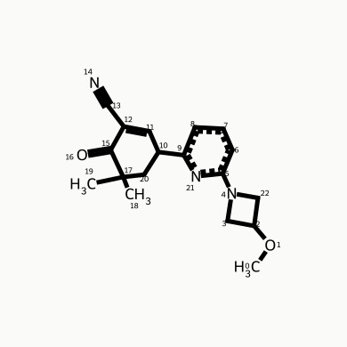 COC1CN(c2cccc(C3C=C(C#N)C(=O)C(C)(C)C3)n2)C1